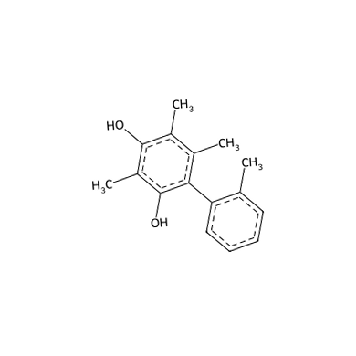 Cc1ccccc1-c1c(C)c(C)c(O)c(C)c1O